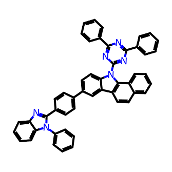 c1ccc(-c2nc(-c3ccccc3)nc(-n3c4ccc(-c5ccc(-c6nc7ccccc7n6-c6ccccc6)cc5)cc4c4ccc5ccccc5c43)n2)cc1